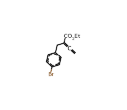 C=C=C(Cc1ccc(Br)cc1)C(=O)OCC